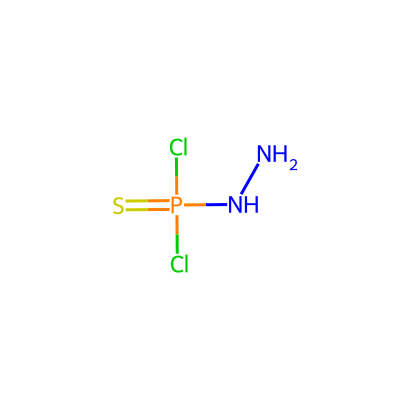 NNP(=S)(Cl)Cl